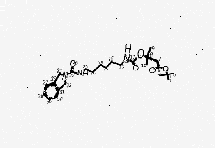 CC(C)(C)OC(=O)CC(C)(C)OC(=O)NCCCCCCNC(=O)N1Cc2ccccc2C1